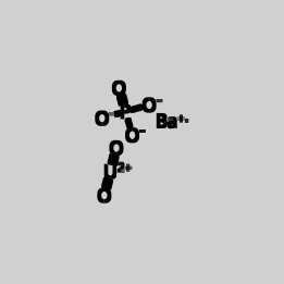 O=P([O-])([O-])[O-].[Ba+].[O]=[U+2]=[O]